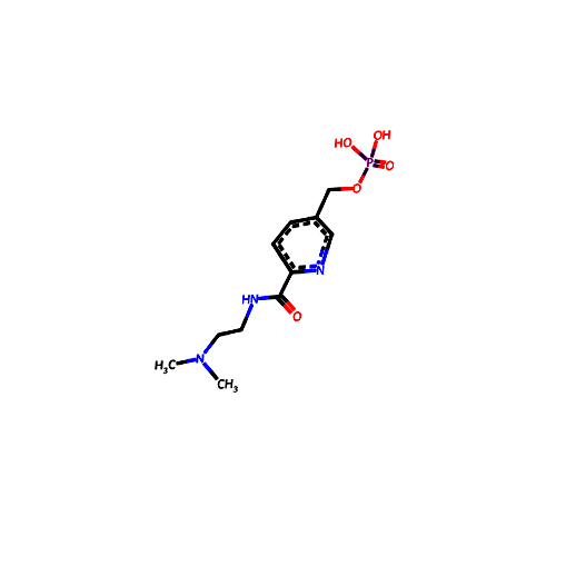 CN(C)CCNC(=O)c1ccc(COP(=O)(O)O)cn1